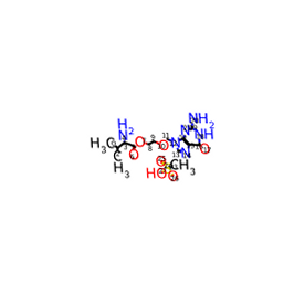 CC(C)[C@H](N)C(=O)OCCOCn1cnc2c(=O)[nH]c(N)nc21.CS(=O)(=O)O